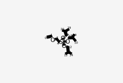 C=COCC[Si](OC=C(C)C)(OC=C(C)C)OC=C(C)C